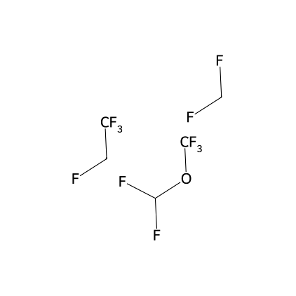 FC(F)OC(F)(F)F.FCC(F)(F)F.FCF